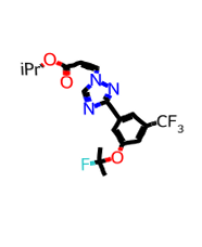 CC(C)OC(=O)/C=C\n1cnc(-c2cc(OC(C)(C)F)cc(C(F)(F)F)c2)n1